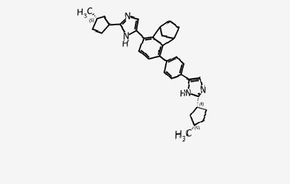 C[C@H]1CCC(c2ncc(-c3ccc(-c4ccc(-c5cnc([C@@H]6CC[C@H](C)C6)[nH]5)cc4)c4c3C3CCC4C3)[nH]2)C1